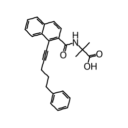 CC(C)(NC(=O)c1ccc2ccccc2c1C#CCCCc1ccccc1)C(=O)O